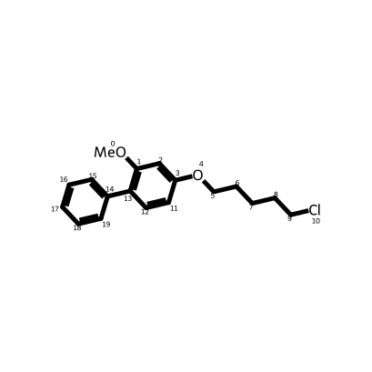 COc1cc(OCCCCCCl)ccc1-c1ccccc1